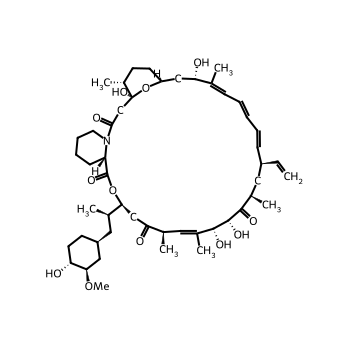 C=C[C@@H]1/C=C/C=C/C=C(\C)[C@@H](O)C[C@@H]2CC[C@@H](C)[C@](O)(CC(=O)N3CCCC[C@H]3C(=O)O[C@H]([C@H](C)C[C@@H]3CC[C@@H](O)[C@H](OC)C3)CC(=O)[C@H](C)/C=C(\C)[C@@H](O)[C@@H](O)C(=O)[C@H](C)C1)O2